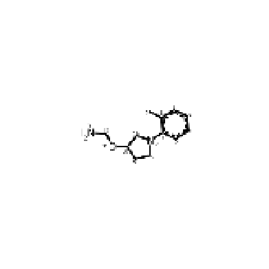 Cc1ccccc1N1CCC(OCN)C1